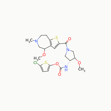 COC1CN(C)CCc2sc(C(=O)N3CC(OC)[C@H](NC(=O)Oc4ccc(Cl)s4)C3)cc21